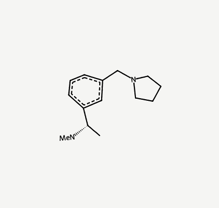 CN[C@@H](C)c1cccc(CN2CCCC2)c1